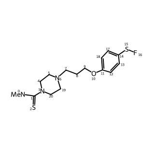 CNC(=S)N1CCN(CCCOc2ccc(SF)cc2)CC1